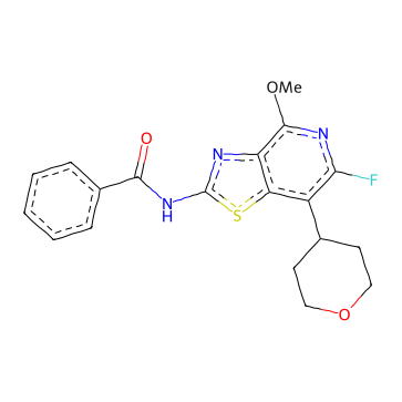 COc1nc(F)c(C2CCOCC2)c2sc(NC(=O)c3ccccc3)nc12